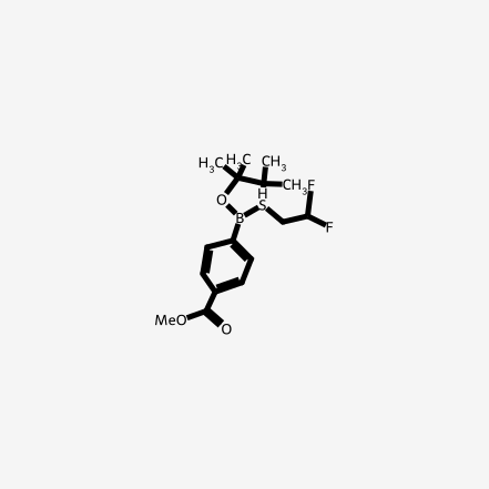 COC(=O)c1ccc(B2OC(C)(C)C(C)(C)[SH]2CC(F)F)cc1